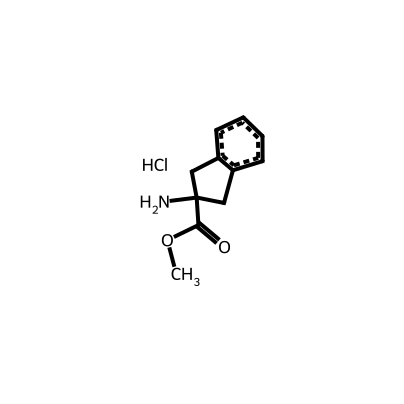 COC(=O)C1(N)Cc2ccccc2C1.Cl